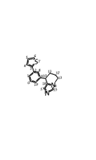 c1cc(-c2cccs2)cc(C2CCCn3cncc32)c1